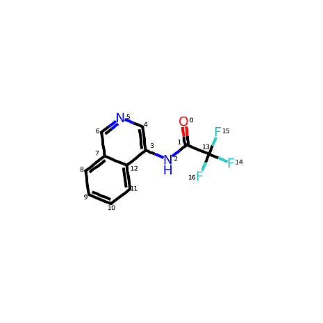 O=C(Nc1cncc2ccccc12)C(F)(F)F